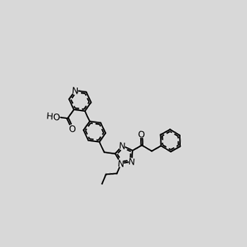 CCCn1nc(C(=O)Cc2ccccc2)nc1Cc1ccc(-c2ccncc2C(=O)O)cc1